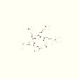 CNC(CO)C(=O)N[C@@H](CCCNC(=N)N)C(=O)NC(CCCNC(=N)N)C(=O)N[C@@H](CCCNC(=N)N)C(=O)NC(CCCNC(=N)N)C(=O)NCC=O